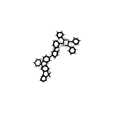 CC1(C)c2ccccc2-c2cc3c(cc21)-c1cc(-c2ccc4sc5c(C6NC(c7ccccc7)C(c7ccccc7)=NC6c6ccccc6)cccc5c4c2)ccc1C31CCCCC1